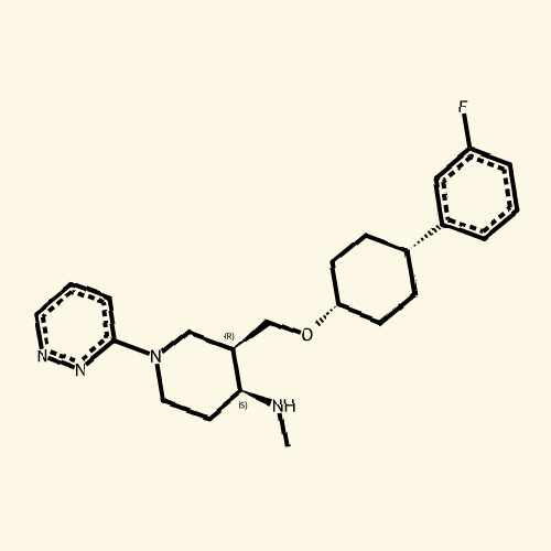 CN[C@H]1CCN(c2cccnn2)C[C@H]1CO[C@H]1CC[C@@H](c2cccc(F)c2)CC1